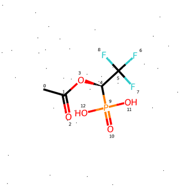 CC(=O)O[C@@H](C(F)(F)F)P(=O)(O)O